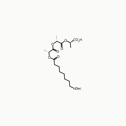 CCCCCCCCCCCCCCCCCC(=O)O[C@H](C)C(=O)O[C@H](C)C(=O)O[C@H](C)C(=O)O